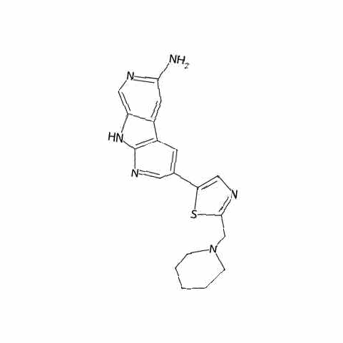 Nc1cc2c(cn1)[nH]c1ncc(-c3cnc(CN4CCCCC4)s3)cc12